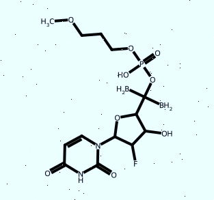 BC(B)(OP(=O)(O)OCCCOC)C1OC(n2ccc(=O)[nH]c2=O)C(F)C1O